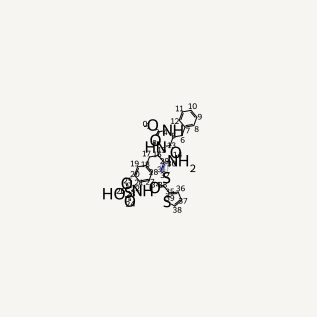 COC(=O)NC(Cc1ccccc1)C(=O)NC(Cc1ccc(NS(=O)(=O)O)cc1)/C(N)=C/SC(=O)c1cccs1